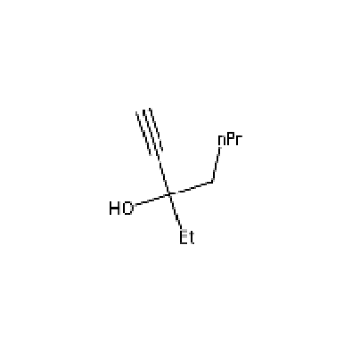 [C]#CC(O)(CC)CCCC